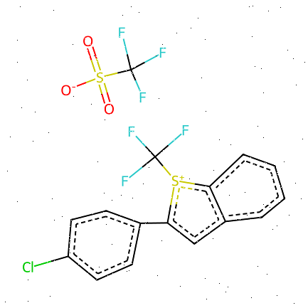 FC(F)(F)[s+]1c(-c2ccc(Cl)cc2)cc2ccccc21.O=S(=O)([O-])C(F)(F)F